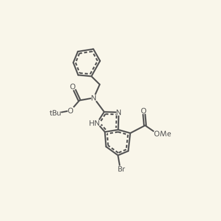 COC(=O)c1cc(Br)cc2[nH]c(N(Cc3ccccc3)C(=O)OC(C)(C)C)nc12